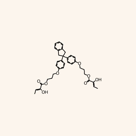 CC=C(O)C(=O)OCCCOc1ccc(C2(c3ccc(OCCCOC(=O)C(O)=CC)cc3)Cc3ccccc3C2)cc1